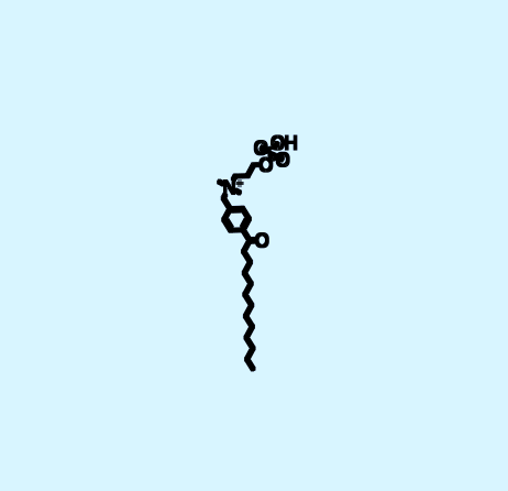 CCCCCCCCCCCCC(=O)c1ccc(C[N+](C)(C)CCCOS(=O)(=O)O)cc1